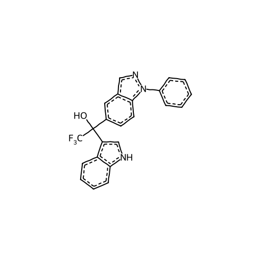 OC(c1ccc2c(cnn2-c2ccccc2)c1)(c1c[nH]c2ccccc12)C(F)(F)F